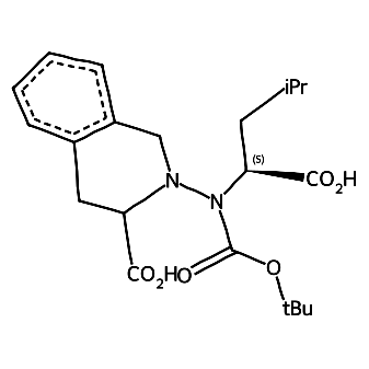 CC(C)C[C@@H](C(=O)O)N(C(=O)OC(C)(C)C)N1Cc2ccccc2CC1C(=O)O